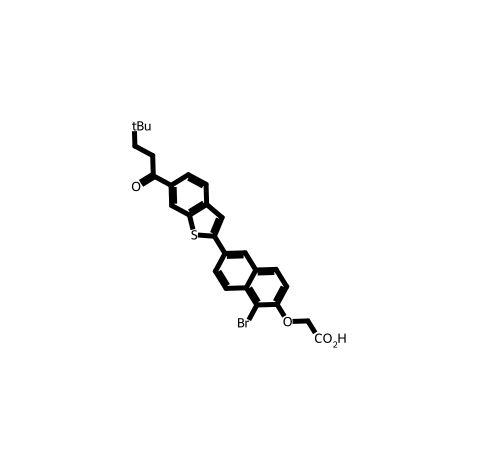 CC(C)(C)CCC(=O)c1ccc2cc(-c3ccc4c(Br)c(OCC(=O)O)ccc4c3)sc2c1